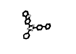 C1=CC(c2nc(-c3ccc(-c4ccccc4)cc3)nc(-c3ccc4c(c3)oc3ccccc34)n2)=CCCC1